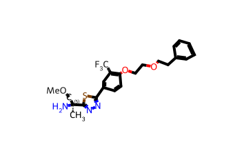 COC[C@](C)(N)c1nnc(-c2ccc(OCCOCCc3ccccc3)c(C(F)(F)F)c2)s1